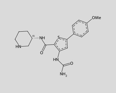 COc1ccc(-c2cc(NC(N)=O)c(C(=O)N[C@H]3CCCNC3)s2)cc1